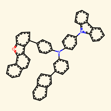 c1cc(-c2ccc3ccccc3c2)cc(N(c2ccc(-c3cccc4oc5c6ccccc6ccc5c34)cc2)c2ccc(-n3c4ccccc4c4ccccc43)cc2)c1